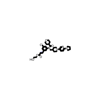 O=C(/C=C/c1cc(Cl)cc(N(CC2CCN(c3ccc(N4CCCC4)nc3)CC2)C(=O)C2CCOCC2)c1)OCCO